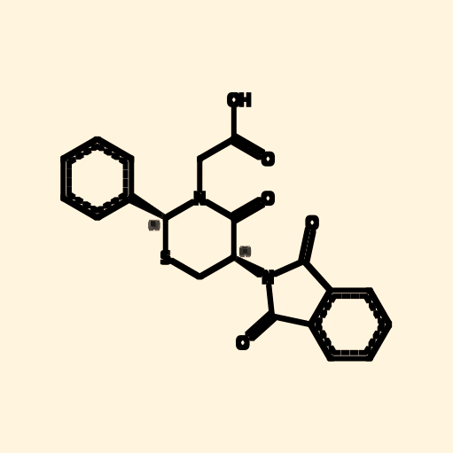 O=C(O)CN1C(=O)[C@@H](N2C(=O)c3ccccc3C2=O)CS[C@H]1c1ccccc1